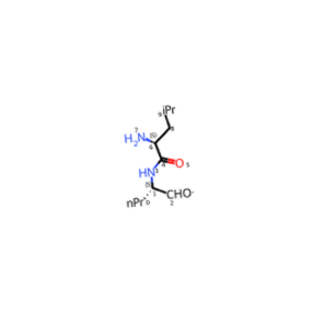 CCC[C@@H]([C]=O)NC(=O)[C@@H](N)CC(C)C